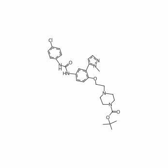 Cn1nccc1-c1cc(NC(=O)Nc2ccc(Cl)cc2)ccc1OCCN1CCN(C(=O)OC(C)(C)C)CC1